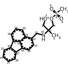 CC(CO)(COS(C)(=O)=O)NCc1ccc2c3c(cccc13)-c1ccccc1-2